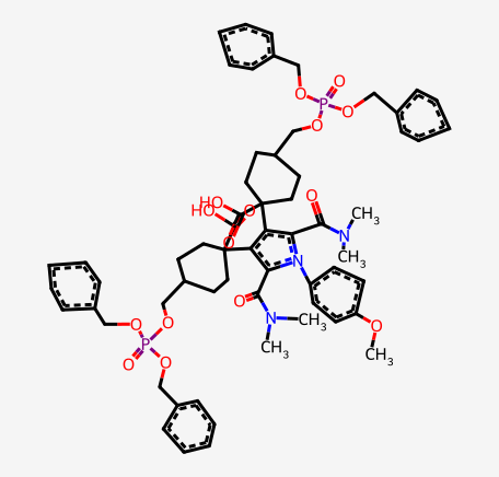 COc1ccc(-n2c(C(=O)N(C)C)c(C3(C(=O)O)CCC(COP(=O)(OCc4ccccc4)OCc4ccccc4)CC3)c(C3(C(=O)O)CCC(COP(=O)(OCc4ccccc4)OCc4ccccc4)CC3)c2C(=O)N(C)C)cc1